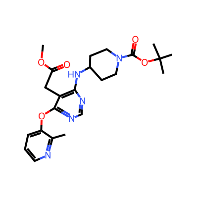 COC(=O)Cc1c(NC2CCN(C(=O)OC(C)(C)C)CC2)ncnc1Oc1cccnc1C